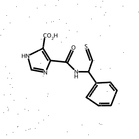 O=C(NC([C]=S)c1ccccc1)c1nc[nH]c1C(=O)O